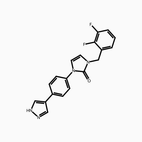 O=c1n(Cc2cccc(F)c2F)ccn1-c1ccc(-c2cn[nH]c2)cc1